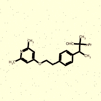 CCCC(C)(C=O)C(C)c1ccc(CCOc2cc(C)nc(C)c2)cc1